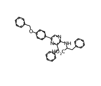 O=C(O)C(Cc1ccccc1)Nc1ncc(-c2ccc(OCc3ccccc3)cc2)nc1Cc1ccccc1